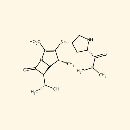 C[C@H]1C(S[C@@H]2CN[C@H](C(=O)N(C)C)C2)=C(C(=O)O)N2C(=O)[C@H]([C@@H](C)O)C12